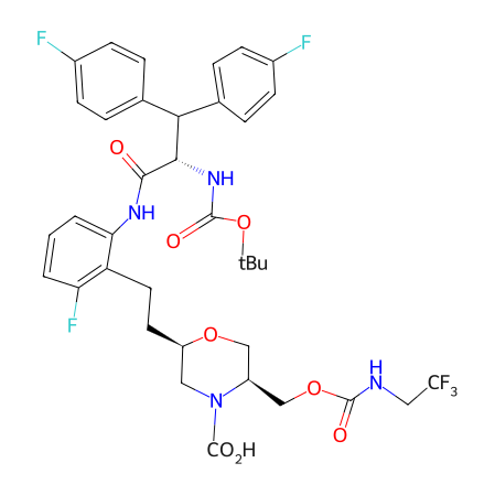 CC(C)(C)OC(=O)N[C@H](C(=O)Nc1cccc(F)c1CC[C@@H]1CN(C(=O)O)[C@H](COC(=O)NCC(F)(F)F)CO1)C(c1ccc(F)cc1)c1ccc(F)cc1